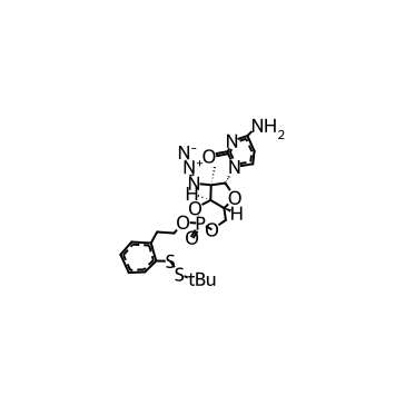 CC(C)(C)SSc1ccccc1CCOP1(=O)OC[C@H]2O[C@@H](n3ccc(N)nc3=O)[C@](C)(N=[N+]=[N-])[C@@H]2O1